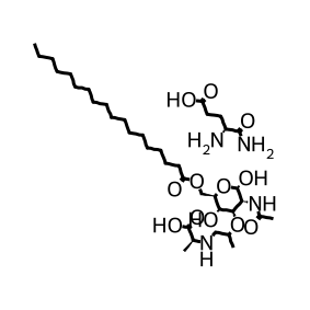 CCCCCCCCCCCCCCCCCC(=O)OC[C@H]1O[C@H](O)[C@H](NC(C)=O)[C@@H](OC(C)CN[C@@H](C)C(=O)O)[C@@H]1O.NC(=O)[C@H](N)CCC(=O)O